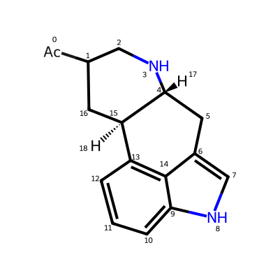 CC(=O)C1CN[C@@H]2Cc3c[nH]c4cccc(c34)[C@H]2C1